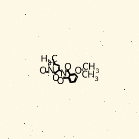 CCCC(C(=O)NC=O)N1C(=O)c2cccc(OC(C)C)c2C1=O